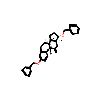 C=C1C[C@]2(C)[C@@H](OCc3ccccc3)CC[C@H]2[C@@H]2CCc3cc(OCc4ccccc4)ccc3[C@@H]12